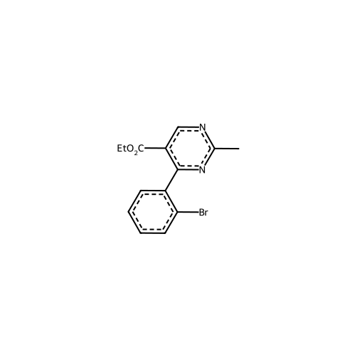 CCOC(=O)c1cnc(C)nc1-c1ccccc1Br